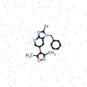 CCc1nc2ncc(-c3c(C)noc3C)cc2n1Cc1ccccc1